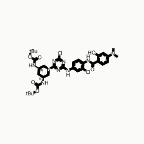 CN(C)c1ccc(C(=O)Nc2ccc(Nc3nc(Cl)nc(N4C[C@H](NC(=O)OC(C)(C)C)C[C@H](NC(=O)OC(C)(C)C)C4)n3)cc2Cl)c(O)c1